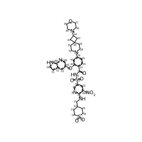 O=C(NS(=O)(=O)c1cnc(NCC2CCS(=O)(=O)CC2)c([N+](=O)[O-])c1)c1ccc(N2CCC3(CC2)CC(N2CCOCC2)C3)cc1Oc1cnc2[nH]ccc2c1